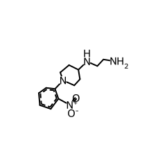 NCCNC1CCN(c2ccccc2[N+](=O)[O-])CC1